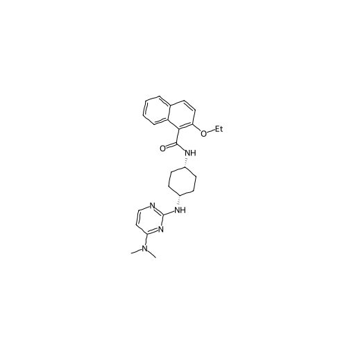 CCOc1ccc2ccccc2c1C(=O)N[C@H]1CC[C@@H](Nc2nccc(N(C)C)n2)CC1